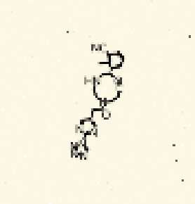 Cc1c(C#N)cccc1[C@@H]1CNCCN(C(=O)Cc2cnc(-n3cnnn3)nc2)CCCO1